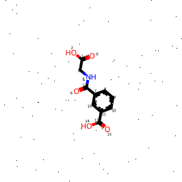 O=C(O)CNC(=O)c1cccc(C(=O)O)c1